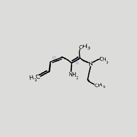 C=C/C=C\C(N)=C(/C)N(C)CC